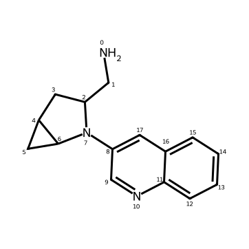 NCC1CC2CC2N1c1cnc2ccccc2c1